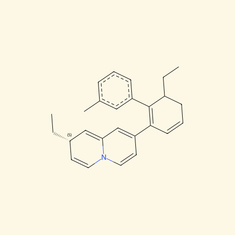 CCC1CC=CC(C2=CC3=C[C@@H](CC)C=CN3C=C2)=C1c1cccc(C)c1